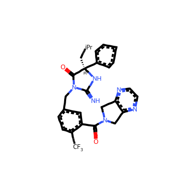 CC(C)C[C@]1(c2ccccc2)NC(=N)N(Cc2ccc(C(F)(F)F)c(C(=O)N3Cc4nccnc4C3)c2)C1=O